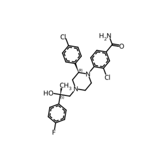 C[C@@](O)(CN1CCN(c2ccc(C(N)=O)cc2Cl)[C@H](c2ccc(Cl)cc2)C1)c1ccc(F)cc1